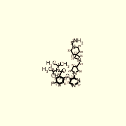 CC(C)N(C(=O)c1cc(F)ccc1Oc1cncnc1N1CCC(CN2CC3(CCN(SN)CC3)C2)C1)C(C)C